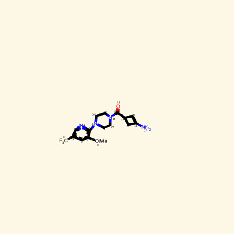 COc1cc(C(F)(F)F)cnc1N1CCN(C(=O)C2CC(N)C2)CC1